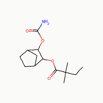 CCC(C)(C)C(=O)OC1C2CCC(C2)C1OC(N)=O